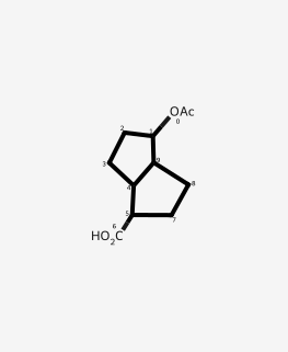 CC(=O)OC1CCC2C(C(=O)O)CCC12